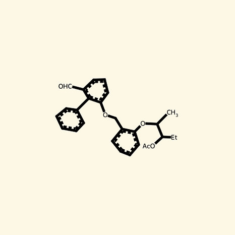 CCC(OC(C)=O)C(C)Oc1ccccc1COc1cccc(C=O)c1-c1ccccc1